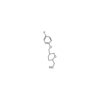 OCC1CCC(COc2ccc(F)cc2)CO1